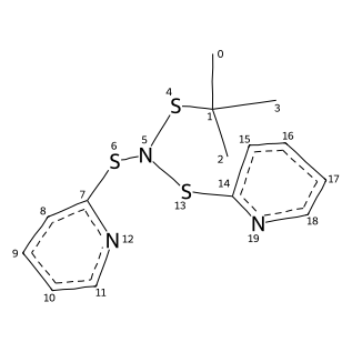 CC(C)(C)SN(Sc1ccccn1)Sc1ccccn1